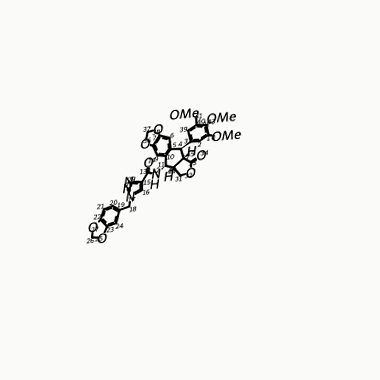 COc1cc([C@@H]2c3cc4c(cc3[C@@H](NC(=O)c3cn(Cc5ccc6c(c5)OCO6)nn3)[C@H]3COC(=O)[C@H]23)OCO4)cc(OC)c1OC